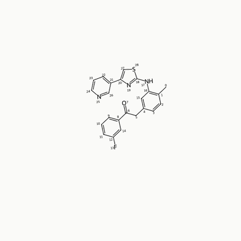 Cc1ccc(CC(=O)c2cccc(F)c2)cc1Nc1nc(-c2cccnc2)cs1